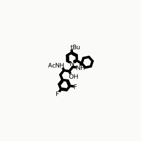 CC(=O)NC(Cc1cc(F)cc(F)c1)C(O)CNC1(c2cc(C(C)(C)C)ccn2)CCCCC1